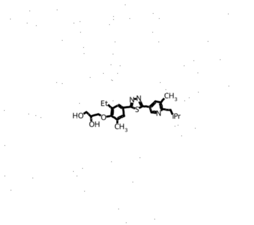 CCc1cc(-c2nnc(-c3cnc(CC(C)C)c(C)c3)s2)cc(C)c1OCC(O)CO